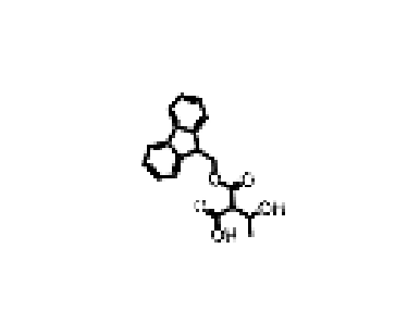 CC(O)C(C(=O)O)C(=O)OCC1c2ccccc2-c2ccccc21